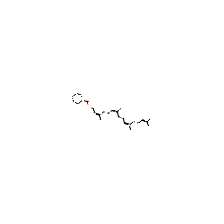 CC(C)=CCCC(C)=CCCC(C)=CCCC(C)=CCOC(=O)C1CCCCC1